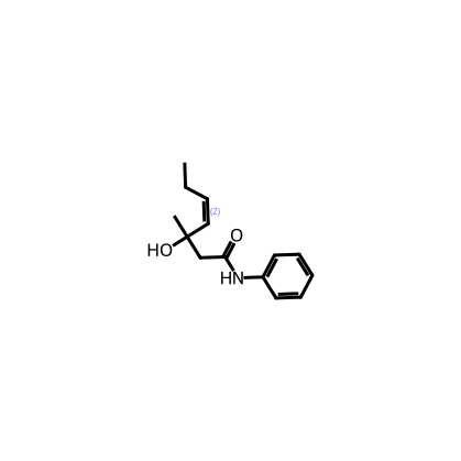 CC/C=C\C(C)(O)CC(=O)Nc1ccccc1